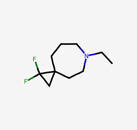 CCN1CCCC2(CC1)CC2(F)F